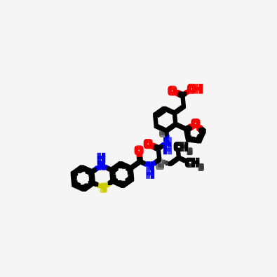 CC(C)C[C@H](NC(=O)c1ccc2c(c1)Nc1ccccc1S2)C(=O)N[C@H]1CC=CC(CC(=O)O)C1c1ccco1